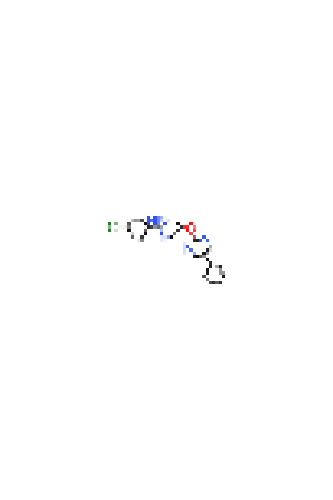 Clc1ccc(C2=NCC(Oc3ncc(-c4ccccc4)cn3)CN2)cc1